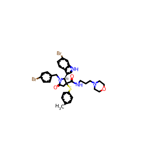 Cc1ccc(SC2(C(=O)NCCCN3CCOCC3)CC(=O)N(Cc3ccc(Br)cc3)[C@H]2c2c[nH]c3cc(Br)ccc23)cc1